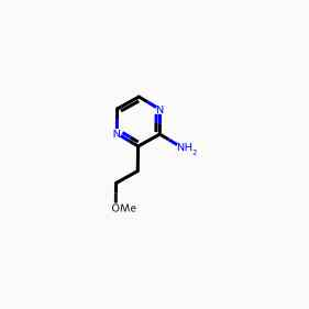 COCCc1nccnc1N